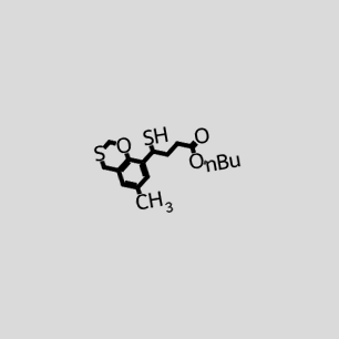 CCCCOC(=O)CCC(S)c1cc(C)cc2c1OCSC2